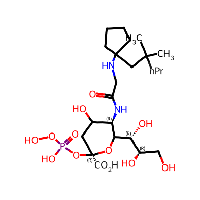 CCCC(C)(C)CC1(NCC(=O)N[C@@H]2C(O)C[C@@](OP(=O)(O)OO)(C(=O)O)OC2[C@H](O)[C@H](O)CO)CCCC1